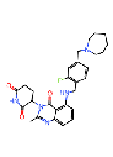 Cc1nc2cccc(NCc3ccc(CN4CCCCCC4)cc3F)c2c(=O)n1C1CCC(=O)NC1=O